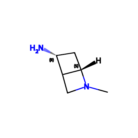 CN1CC2[C@H](N)C[C@@H]21